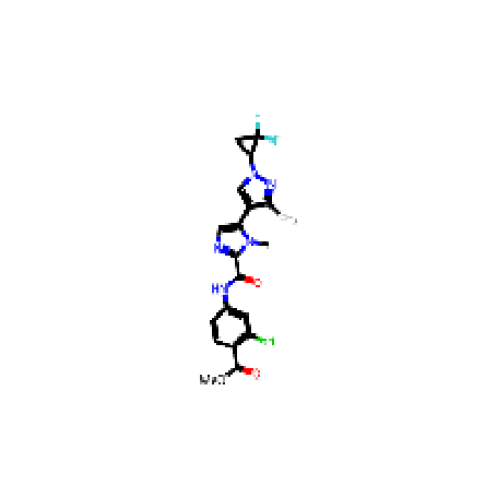 COC(=O)c1ccc(NC(=O)c2ncc(-c3cn(C4CC4(F)F)nc3C(F)(F)F)n2C)cc1Cl